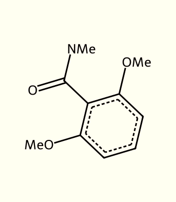 [CH2]NC(=O)c1c(OC)cccc1OC